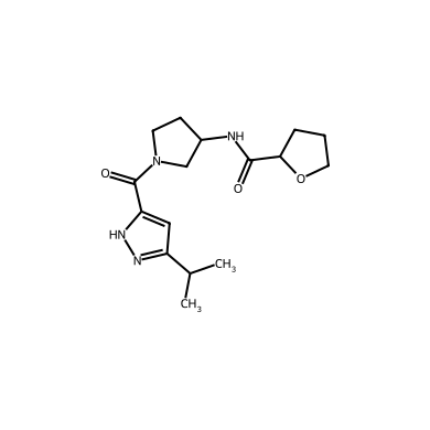 CC(C)c1cc(C(=O)N2CCC(NC(=O)C3CCCO3)C2)[nH]n1